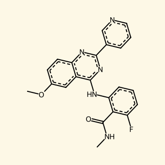 CNC(=O)c1c(F)cccc1Nc1nc(-c2cccnc2)nc2ccc(OC)cc12